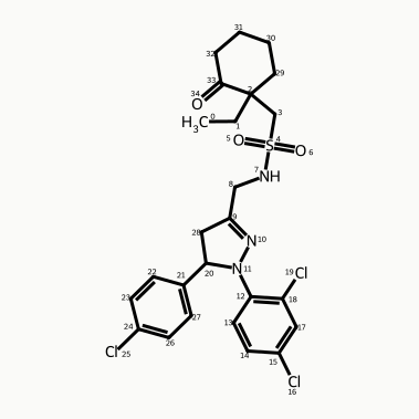 CCC1(CS(=O)(=O)NCC2=NN(c3ccc(Cl)cc3Cl)C(c3ccc(Cl)cc3)C2)CCCCC1=O